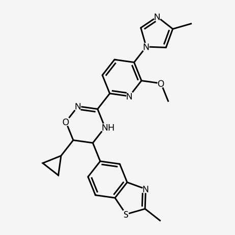 COc1nc(C2=NOC(C3CC3)C(c3ccc4sc(C)nc4c3)N2)ccc1-n1cnc(C)c1